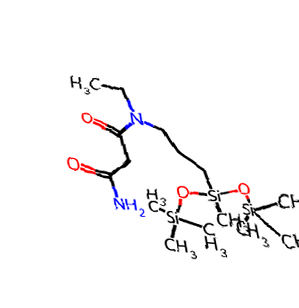 CCN(CCC[Si](C)(O[Si](C)(C)C)O[Si](C)(C)C)C(=O)CC(N)=O